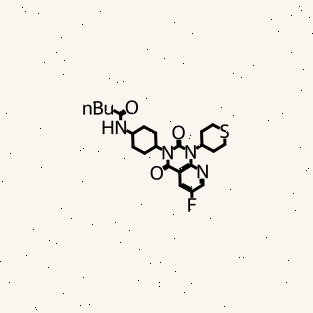 CCCCC(=O)NC1CCC(n2c(=O)c3cc(F)cnc3n(C3CCSCC3)c2=O)CC1